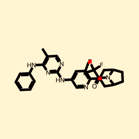 Cc1cnc(Nc2cnc(C3CC4CCC(C3)N4C(=O)C(F)(F)F)c(C)c2)nc1Nc1ccccc1